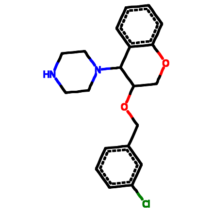 Clc1cccc(COC2COc3ccccc3C2N2CCNCC2)c1